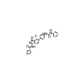 O=C(Nc1ccccc1)Nc1ccc(-c2ccc3c(NC(=O)c4ccsc4)n[nH]c3c2F)cc1